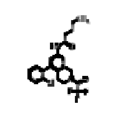 CCCCC(=O)Nc1cc2c(c(-c3ccccc3Cl)c1)CCN(C(=O)C(F)(F)F)C2